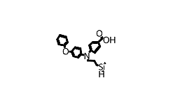 C[SiH](C)CCCN(c1ccc(Oc2ccccc2)cc1)c1ccc(C(=O)O)cc1